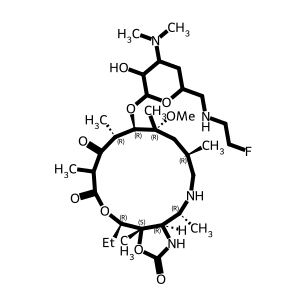 CC[C@H]1OC(=O)C(C)C(=O)[C@H](C)[C@@H](OC2OC(CNCCF)CC(N(C)C)C2O)[C@](C)(OC)C[C@@H](C)CN[C@H](C)[C@H]2NC(=O)O[C@@]21C